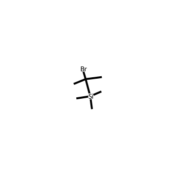 CC(C)(Br)[Si](C)(C)C